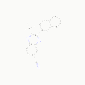 CC(C)(C)c1nc2ccc(C#N)cc2nc1-c1ccc2ccccc2c1